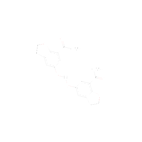 COC(=O)c1cc(OBOc2cc3c(c(C(=O)OC)c2)OCC3)cc2c1OCC2